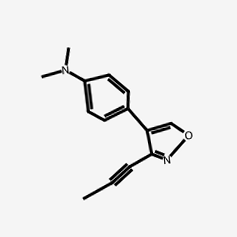 CC#Cc1nocc1-c1ccc(N(C)C)cc1